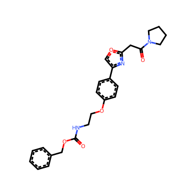 O=C(NCCOc1ccc(-c2coc(CC(=O)N3CCCC3)n2)cc1)OCc1ccccc1